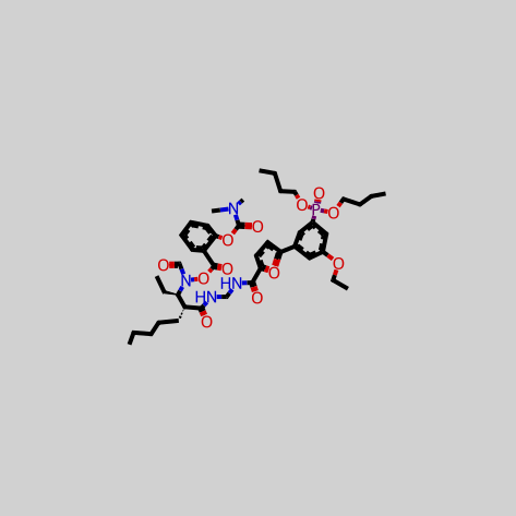 CCCCC[C@@H](C(=O)NCNC(=O)c1ccc(-c2cc(OCC)cc(P(=O)(OCCCC)OCCCC)c2)o1)[C@@H](CC)N(C=O)OC(=O)c1ccccc1OC(=O)N(C)C